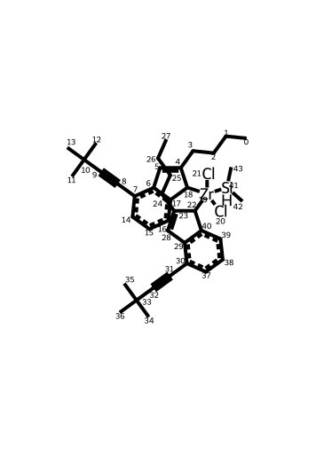 CCCCC1=Cc2c(C#CC(C)(C)C)cccc2[CH]1[Zr]([Cl])([Cl])([CH]1C(CCCC)=Cc2c(C#CC(C)(C)C)cccc21)[SiH](C)C